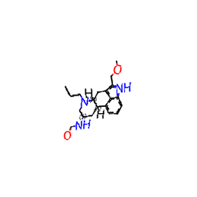 CCCN1C[C@@H](NC=O)C[C@@H]2c3cccc4[nH]c(COC)c(c34)C[C@H]21